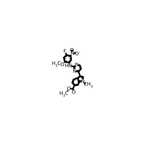 COC(=O)c1ccc2c(-c3ccnc(Nc4cc([N+](=O)[O-])c(F)cc4OC)n3)cn(C)c2c1